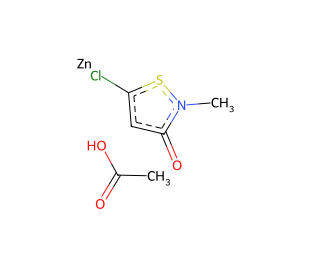 CC(=O)O.Cn1sc(Cl)cc1=O.[Zn]